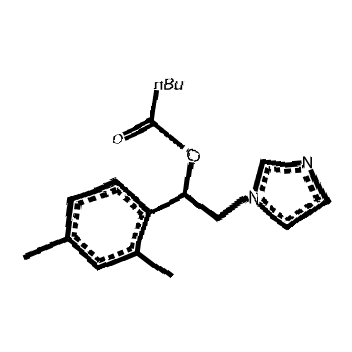 CCCCC(=O)OC(Cn1ccnc1)c1ccc(C)cc1C